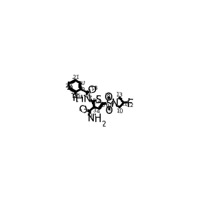 NC(=O)c1cc(S(=O)(=O)N2CC(F)C2)sc1NC(=O)c1ccccc1F